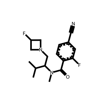 CC(C)C(CN1CC(F)C1)N(C)C(=O)c1ccc(C#N)cc1F